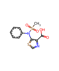 CS(=O)(=O)N(c1ccccc1)c1scnc1C(=O)O